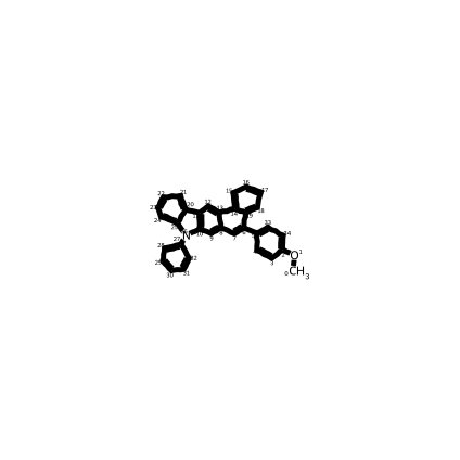 COc1ccc(-c2cc3cc4c(cc3c3ccccc23)c2ccccc2n4-c2ccccc2)cc1